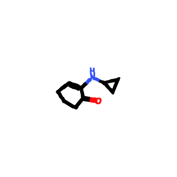 O=C1CCCC=C1NC1CC1